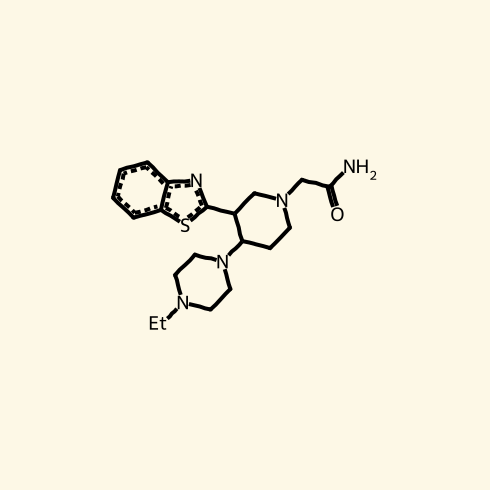 CCN1CCN(C2CCN(CC(N)=O)CC2c2nc3ccccc3s2)CC1